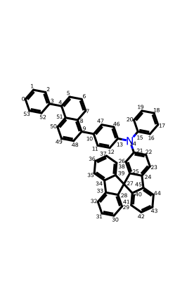 c1ccc(-c2cccc3c(-c4ccc(N(c5ccccc5)c5ccc6c(c5)C5(c7ccccc7-c7ccccc75)c5ccccc5-6)cc4)cccc23)cc1